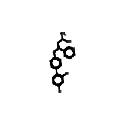 CC(O)CC(Oc1ccc(-c2ccc(Cl)cc2Cl)cc1)c1cccnc1